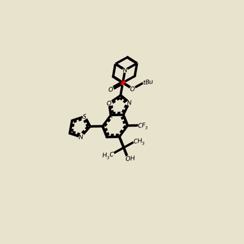 CC(C)(C)OC(=O)N1C2CC1CN(c1nc3c(C(F)(F)F)c(C(C)(C)O)cc(-c4nccs4)c3o1)C2